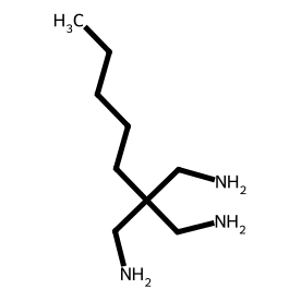 CCCCCC(CN)(CN)CN